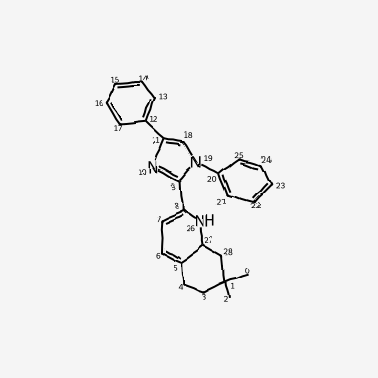 CC1(C)CCC2=CC=C(c3nc(-c4ccccc4)cn3-c3ccccc3)NC2C1